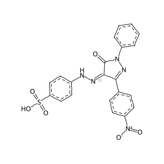 O=C1/C(=N\Nc2ccc(S(=O)(=O)O)cc2)C(c2ccc([N+](=O)[O-])cc2)=NN1c1ccccc1